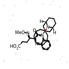 CO/N=C(\CCC(=O)O)c1nc2ccccc2n(C2C[C@H]3CCC[C@@H](C2)N3C2CCCCCCCC2)c1=O